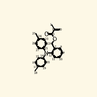 C=C(C)C(=O)OCc1ccccc1N(c1ccc(C)cc1)c1ccc(C)cc1